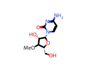 COC1[C@@H](CO)O[C@@H](n2ccc(N)nc2=O)[C@H]1O